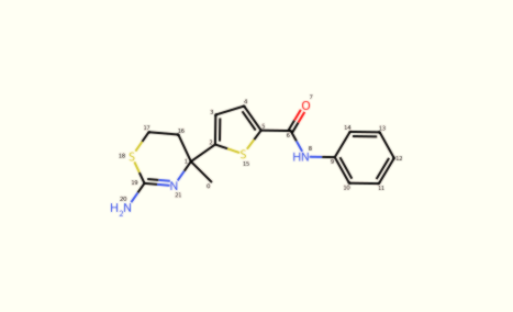 CC1(c2ccc(C(=O)Nc3ccccc3)s2)CCSC(N)=N1